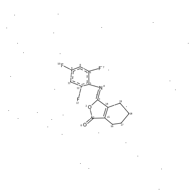 O=C1OC(=Nc2c(F)cc(F)cc2F)C2=C1CCCC2